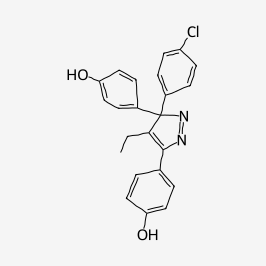 CCC1=C(c2ccc(O)cc2)N=NC1(c1ccc(O)cc1)c1ccc(Cl)cc1